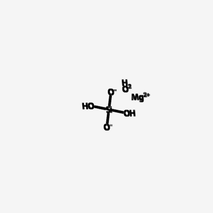 O.[Mg+2].[O-][Si]([O-])(O)O